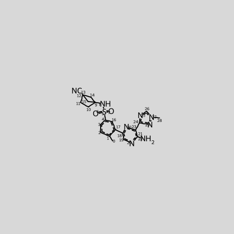 Cc1ccc(S(=O)(=O)NC23CCC(C#N)(C2)C3)cc1-c1cnc(N)c(-c2ncn(C)n2)n1